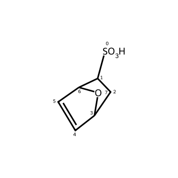 O=S(=O)(O)C1CC2C=CC1O2